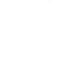 C(=C(c1ccccc1)c1ccccc1)c1ccc(-c2ccccc2)cc1